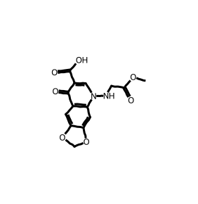 COC(=O)CNn1cc(C(=O)O)c(=O)c2cc3c(cc21)OCO3